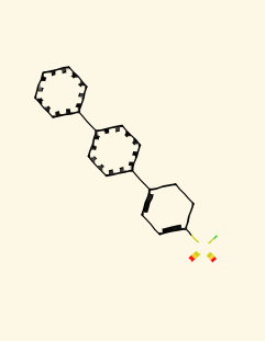 O=S(=O)(Cl)C1=CC=C(c2ccc(-c3ccccc3)cc2)CC1